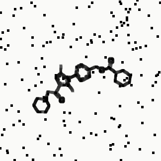 Cc1cc(C(=O)CN2CCCCC2)c(C)n1-c1ccc(COC(=O)C2CCCCC2)cc1